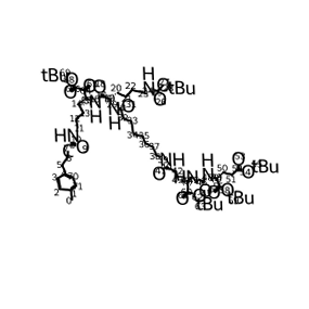 Cc1ccc(CCCC(=O)NCCCC[C@H](NC(=O)[C@H](CCCCNC(=O)OC(C)(C)C)NC(=O)CCCCCCCNC(=O)CC[C@H](NC(=O)N[C@@H](CCC(=O)OC(C)(C)C)C(=O)OC(C)(C)C)C(=O)OC(C)(C)C)C(=O)C(=O)OC(C)(C)C)cc1